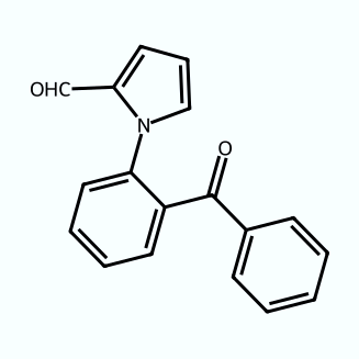 O=Cc1cccn1-c1ccccc1C(=O)c1ccccc1